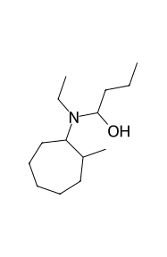 CCCC(O)N(CC)C1CCCCCC1C